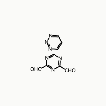 O=Cc1ncnc(C=O)n1.c1cnnnc1